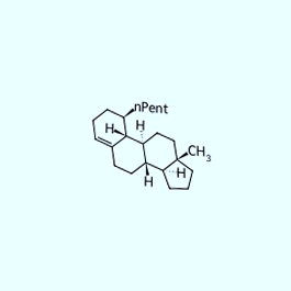 CCCCC[C@@H]1CCC=C2CC[C@@H]3[C@H](CC[C@]4(C)CCC[C@@H]34)[C@H]21